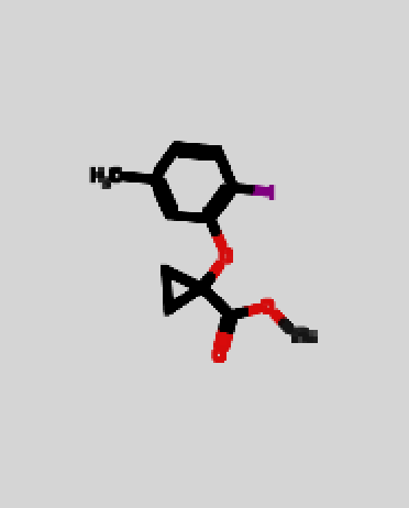 Cc1ccc(I)c(OC2(C(=O)OC(C)(C)C)CC2)c1